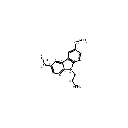 COc1ccc2c(c1)c1cc(OC)ccc1n2CCP